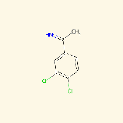 CC(=N)c1ccc(Cl)c(Cl)c1